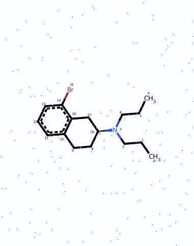 CCCN(CCC)[C@H]1CCc2cccc(Br)c2C1